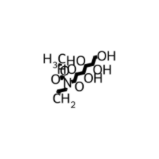 C=CCN(C(=O)OCC)C(=O)[C@H](O)[C@@H](O)[C@H](O)[C@H](O)CO